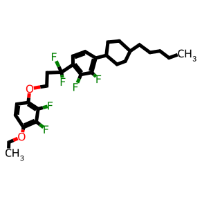 CCCCCC1CCC(c2ccc(C(F)(F)CCOc3ccc(OCC)c(F)c3F)c(F)c2F)CC1